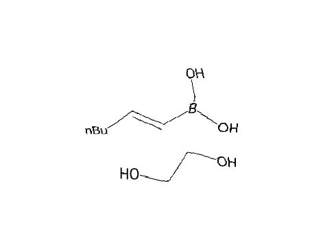 CCCCC=CB(O)O.OCCO